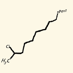 CCCCCCCCCCCCC(C)Cl